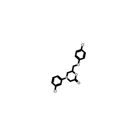 O=C1CN(c2cccc(Cl)c2)CC(COc2ccc(Cl)cc2)O1